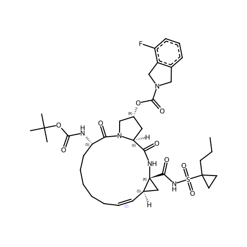 CCCC1(S(=O)(=O)NC(=O)[C@@]23C[C@H]2/C=C\CCCCC[C@H](NC(=O)OC(C)(C)C)C(=O)N2C[C@H](OC(=O)N4Cc5cccc(F)c5C4)C[C@H]2C(=O)N3)CC1